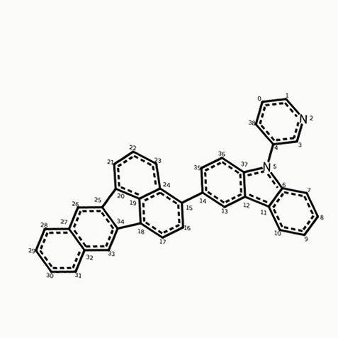 c1cncc(-n2c3ccccc3c3cc(-c4ccc5c6c(cccc46)-c4cc6ccccc6cc4-5)ccc32)c1